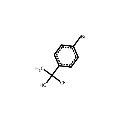 CCC(C)c1ccc(C(C)(O)C(F)(F)F)cc1